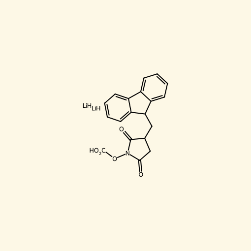 O=C(O)ON1C(=O)CC(CC2c3ccccc3-c3ccccc32)C1=O.[LiH].[LiH]